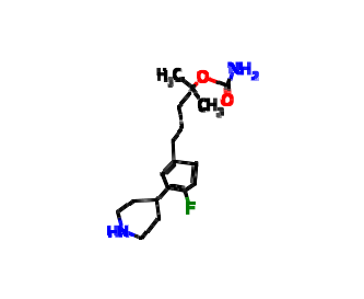 CC(C)(CCCc1ccc(F)c(C2CCNCC2)c1)OC(N)=O